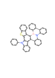 c1ccc(-n2c3ccccc3c3c4c(c5c6ccccc6sc5c32)B2c3ccccc3-c3ccccc3N2c2ccccc2-4)cc1